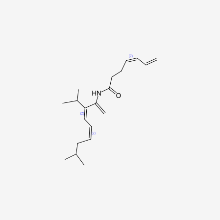 C=C/C=C\CCC(=O)NC(=C)/C(=C\C=C/CC(C)C)C(C)C